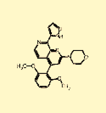 COc1cccc(OC)c1-c1cc(N2CCOCC2)nc2c(-c3ccn[nH]3)nccc12